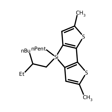 CCCCC[Si]1(CC(CC)CCCC)c2cc(C)sc2-c2sc(C)cc21